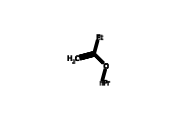 C=C(CC)OCCC